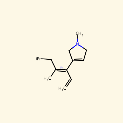 C=C/C(C1=CCN(C)C1)=C(\C)CC(C)C